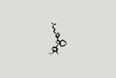 CN(C)CCCn1cc(-c2nn(-c3cnc(P)c(F)c3)c3c2CCOCC3)cn1